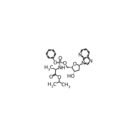 CC(C)OC(=O)[C@@H](C)NP(=O)(OC[C@H]1O[C@@H](n2cnc3cccnc32)C[C@@H]1O)Oc1ccccc1